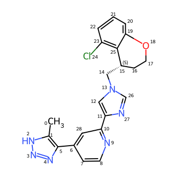 Cc1[nH]nnc1-c1ccnc(-c2cn(C[C@H]3CCOc4cccc(Cl)c43)cn2)c1